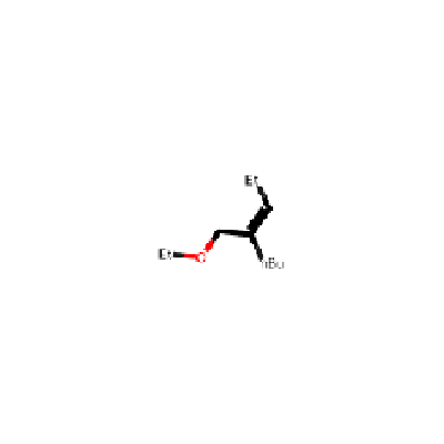 CCC=C(CCCC)COCC